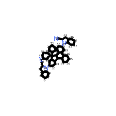 N#CC1Cc2ccccc2N1c1ccc2c(c1)C(c1ccccc1)(c1ccccc1)c1c-2c2ccccc2c2cc(N3c4ccccc4CC3C#N)ccc12